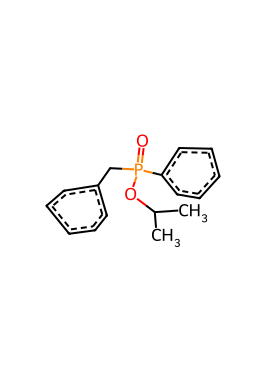 CC(C)OP(=O)(Cc1ccccc1)c1ccccc1